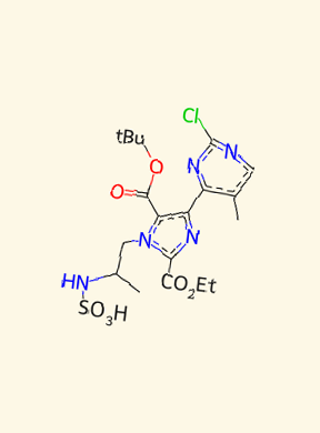 CCOC(=O)c1nc(-c2nc(Cl)ncc2C)c(C(=O)OC(C)(C)C)n1CC(C)NS(=O)(=O)O